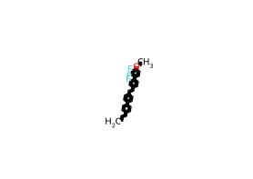 C=CCCC1CCC(c2ccc(CCc3ccc(-c4ccc(OCC)c(F)c4F)c(F)c3)cc2)CC1